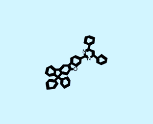 c1ccc(-c2cc(-c3ccccc3)nc(-c3ccc4c(c3)oc3cc5c(cc34)-c3ccccc3C5(c3ccccc3)c3ccccc3)n2)cc1